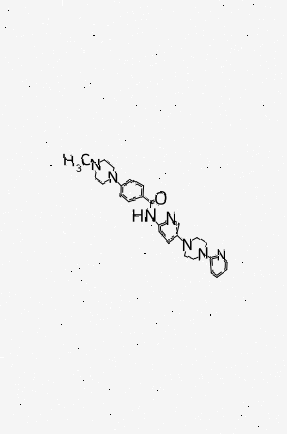 CN1CCN(c2ccc(C(=O)Nc3ccc(N4CCN(c5ccccn5)CC4)cn3)cc2)CC1